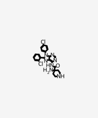 NC1(C(=O)Nc2ncnc3c2nc(-c2ccccc2Cl)n3-c2ccc(Cl)cc2)CCNCC1